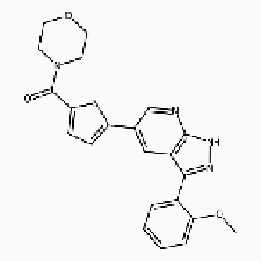 COc1ccccc1-c1n[nH]c2ncc(-c3ccc(C(=O)N4CCOCC4)s3)cc12